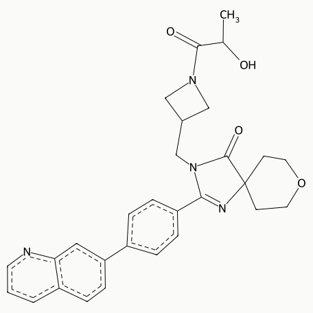 CC(O)C(=O)N1CC(CN2C(=O)C3(CCOCC3)N=C2c2ccc(-c3ccc4cccnc4c3)cc2)C1